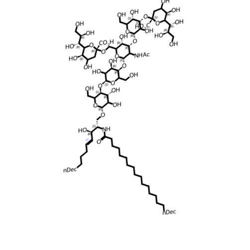 CCCCCCCCCCCCC/C=C/[C@@H](O)[C@H](CO[C@@H]1OC(CO)[C@@H](O[C@@H]2OC(CO)[C@H](O[C@@H]3OC(CO[C@]4(C(=O)O)CC(O)[C@@H](O)C([C@H](O)[C@H](O)CO)O4)[C@H](O)[C@H](O[C@@H]4OC(CO)[C@H](O)[C@H](O[C@]5(C(=O)O)CC(O)[C@@H](O)C([C@H](O)[C@H](O)CO)O5)C4O)C3NC(C)=O)[C@H](O)C2O)[C@H](O)C1O)NC(=O)CCCCCCCCCCCCCCCCCCCCCCCCC